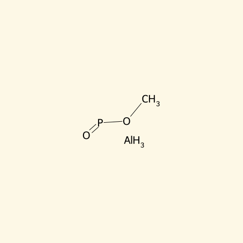 COP=O.[AlH3]